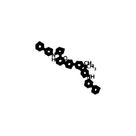 CC1(C)c2ccc(-c3ccc4c(c3)oc3c(-c5ccccc5Nc5ccc(-c6ccccc6)cc5)cccc34)cc2-c2ccc(Nc3cccc(-c4ccccc4)c3)cc21